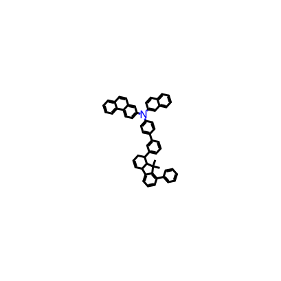 CC1(C)c2c(-c3ccccc3)cccc2C2C=CCC(c3cccc(-c4ccc(N(c5ccc6ccccc6c5)c5ccc6c(ccc7ccccc76)c5)cc4)c3)C21